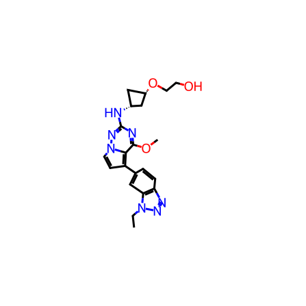 CCn1nnc2ccc(-c3ccn4nc(N[C@H]5C[C@@H](OCCO)C5)nc(OC)c34)cc21